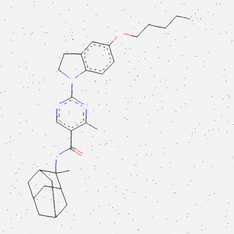 COCCCCOc1ccc2c(c1)CCN2c1ncc(C(=O)NC2(C(=O)O)C3CC4CC(C3)CC2C4)c(C(F)(F)F)n1